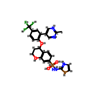 Cc1ncc(-c2cc(C(F)(F)F)ccc2OC2CCOc3cc(S(=O)(=O)Nc4nccs4)ccc32)cn1